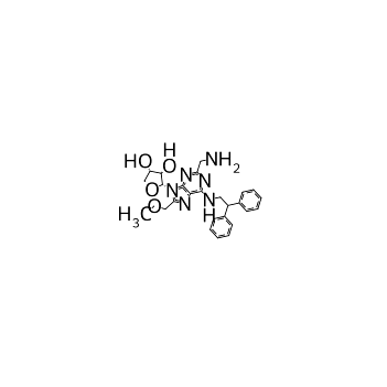 COCc1nc2c(NCC(c3ccccc3)c3ccccc3)nc(CN)nc2n1[C@@H]1OC[C@H](O)[C@H]1O